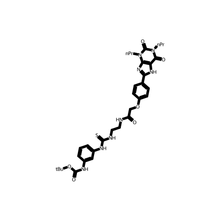 CCCn1c(=O)c2[nH]c(-c3ccc(OCC(=O)NCCNC(=S)Nc4cccc(NC(=O)OC(C)(C)C)c4)cc3)nc2n(CCC)c1=O